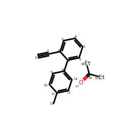 C#Cc1ccccc1-c1ccc(C)cc1.CCC(=O)CC